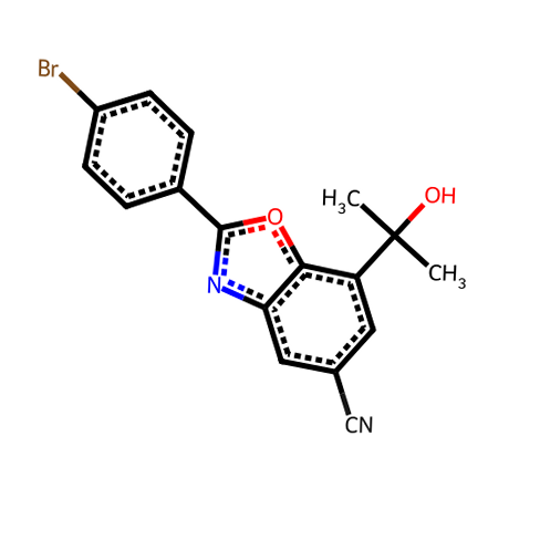 CC(C)(O)c1cc(C#N)cc2nc(-c3ccc(Br)cc3)oc12